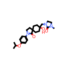 CC(C)Oc1ccc(N2CCC3(CCC(O)(CN4CCN(C)C4=O)CC3)C2=O)cc1